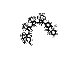 C/C(C#N)=C/c1sc(-c2sc(-c3sc(-c4sc(-c5ccc6c(c5)C(C)(C)c5ccccc5N6C)c5c4OCCO5)c4c3OCCO4)c3c2OCCO3)c2c1OCCO2